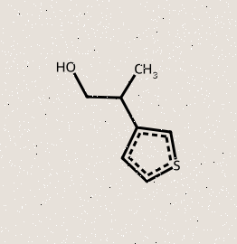 CC(CO)c1ccsc1